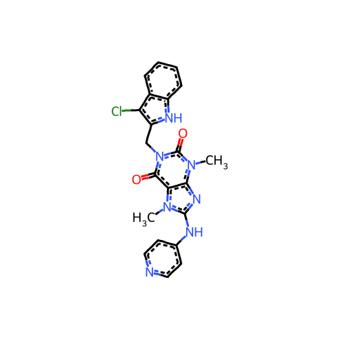 Cn1c(Nc2ccncc2)nc2c1c(=O)n(Cc1[nH]c3ccccc3c1Cl)c(=O)n2C